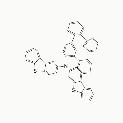 c1ccc(-c2ccccc2-c2ccc(N(c3ccc4c(c3)sc3ccccc34)c3ccc4sc5ccccc5c4c3)c(-c3ccccc3)c2)cc1